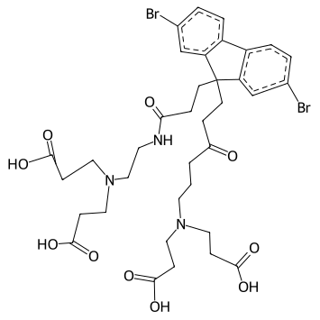 O=C(O)CCN(CCCC(=O)CCC1(CCC(=O)NCCN(CCC(=O)O)CCC(=O)O)c2cc(Br)ccc2-c2ccc(Br)cc21)CCC(=O)O